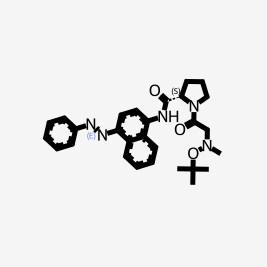 CN(CC(=O)N1CCC[C@H]1C(=O)Nc1ccc(/N=N/c2ccccc2)c2ccccc12)OC(C)(C)C